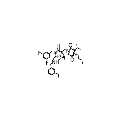 CCCCN1C(=O)CN(CC(=O)N[C@@H](Cc2cc(F)cc(F)c2)[C@H](O)CNCc2cccc(CC)c2)C(=O)[C@H]1C(C)C